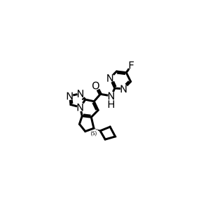 O=C(Nc1ncc(F)cn1)c1cc2c(n3cnnc13)CC[C@H]2C1CCC1